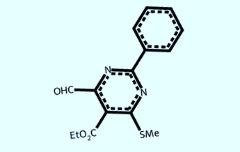 CCOC(=O)c1c(C=O)nc(-c2ccccc2)nc1SC